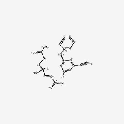 CC#Cc1cc(C)nc(Nc2ccccc2)n1.CCCC(C)(COC(N)=O)COC(N)=O